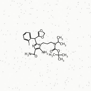 CC(C)N(CCCn1c(C(C2=COCO2)c2ccccc2I)nc(C(N)=O)c1N)C(=O)OC(C)(C)C